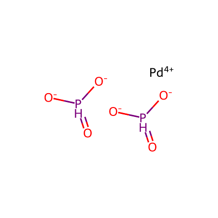 O=[PH]([O-])[O-].O=[PH]([O-])[O-].[Pd+4]